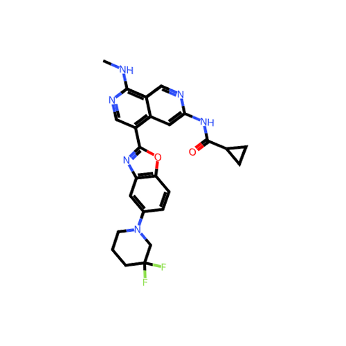 CNc1ncc(-c2nc3cc(N4CCCC(F)(F)C4)ccc3o2)c2cc(NC(=O)C3CC3)ncc12